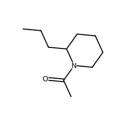 CCCC1CCCCN1C(C)=O